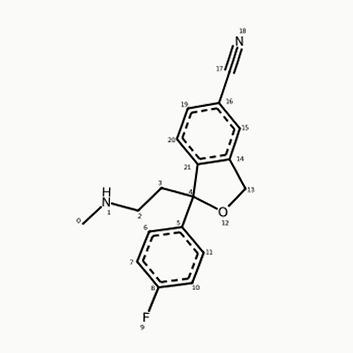 CNCCC1(c2ccc(F)cc2)OCc2cc(C#N)ccc21